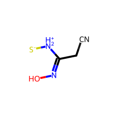 N#CCC(=NO)[NH2+][S-]